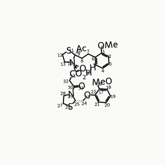 COc1ccccc1CC[C@]1(C(C)=O)SCCN1C(=O)O.COc1ccccc1OC[C@@H]1SCCN1C(=O)CC(=O)O